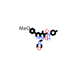 COc1ccc(-c2cnc3c(c2)c(C)c(C(=O)NC2CCC(C)CC2)c(=O)n3CCN2CCOCC2)cc1